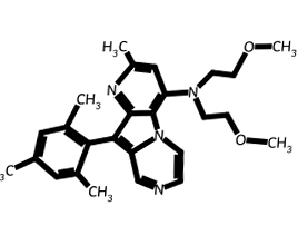 COCCN(CCOC)c1cc(C)nc2c(-c3c(C)cc(C)cc3C)c3cnccn3c12